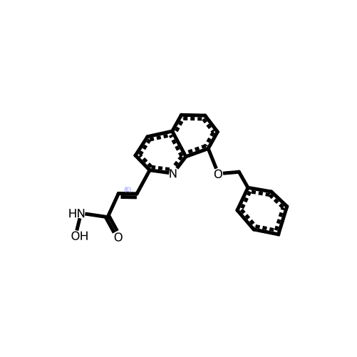 O=C(/C=C/c1ccc2cccc(OCc3ccccc3)c2n1)NO